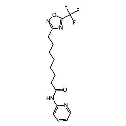 O=C(CCCCCCCc1noc(C(F)(F)F)n1)Nc1ccccn1